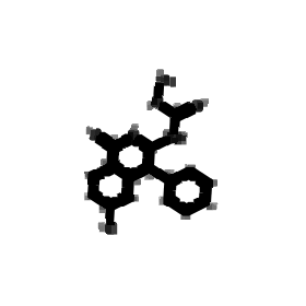 CC(C)(C)OC(=O)Nc1oc(=O)c2ccc(Cl)cc2c1-c1ccccc1